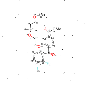 COC(=O)c1ccc(C(=O)c2c(OCCOC(C)(C)CCOC(C)(C)C)ccc(F)c2F)cc1